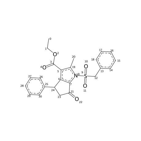 CCOC(=O)c1c2c(n(S(=O)(=O)Cc3ccccc3)c1C)C(=O)CC2c1ccccc1